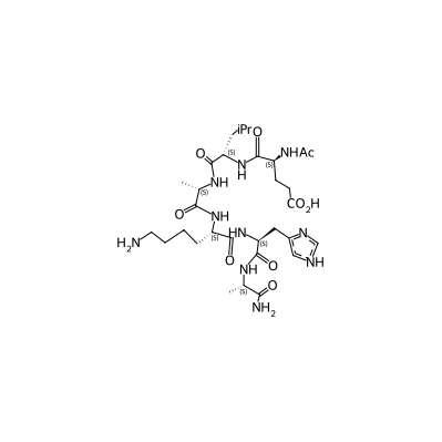 CC(=O)N[C@@H](CCC(=O)O)C(=O)N[C@@H](CC(C)C)C(=O)N[C@@H](C)C(=O)N[C@@H](CCCCN)C(=O)N[C@@H](Cc1c[nH]cn1)C(=O)N[C@@H](C)C(N)=O